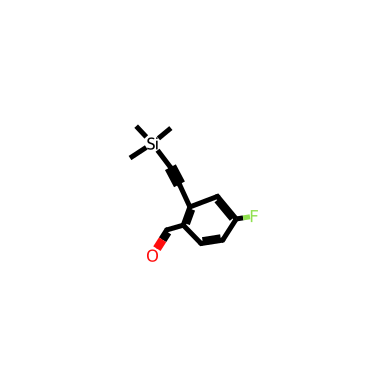 C[Si](C)(C)C#Cc1cc(F)ccc1C=O